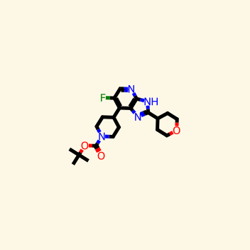 CC(C)(C)OC(=O)N1CCC(c2c(F)cnc3[nH]c(C4CCOCC4)nc23)CC1